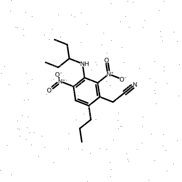 CCCc1cc([N+](=O)[O-])c(NC(CC)CC)c([N+](=O)[O-])c1CC#N